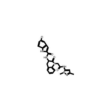 Cc1cc(NC(=O)CN2C(=O)C(NC(=O)c3cc4cc(Cl)ccc4[nH]3)Cc3ccccc32)n(C)n1